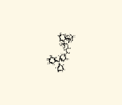 O=S1(=O)c2ccccc2C2(CN1CCCN1CCN(C(c3ccccc3)c3ccccc3)CC1)OCCO2